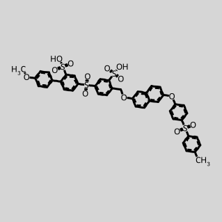 COc1ccc(-c2ccc(S(=O)(=O)c3ccc(COc4ccc5cc(Oc6ccc(S(=O)(=O)c7ccc(C)cc7)cc6)ccc5c4)c(S(=O)(=O)O)c3)cc2S(=O)(=O)O)cc1